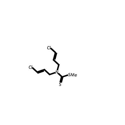 CSC(=S)N(CC=CCl)CC=CCl